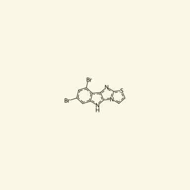 Brc1cc(Br)c2c(c1)[nH]c1c2nc2sccn21